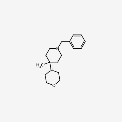 CC1(N2CCOCC2)CCN(Cc2ccccc2)CC1